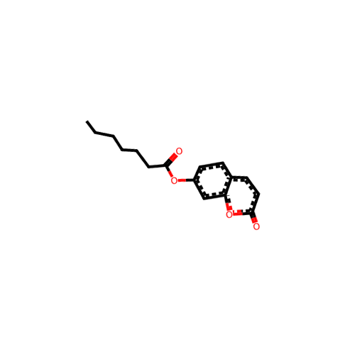 CCCCCCC(=O)Oc1ccc2ccc(=O)oc2c1